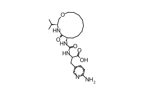 CC(C)[C@H]1COCCCCCCCC[C@@H](NC(=O)NC(Cc2ccc(N)nc2)C(=O)O)C(=O)N1